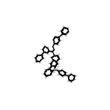 c1ccc(-c2ccc(CCC(c3cccc(-c4ccccc4)c3)c3ccc4cc5c(cc4c3)c3ccccc3n5-c3ccc(-c4ccccc4)cc3)cc2)cc1